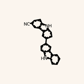 N#Cc1ccc2[nH]c3ccc(-c4ccc5[nH]c6ccccc6c5c4)cc3c2c1